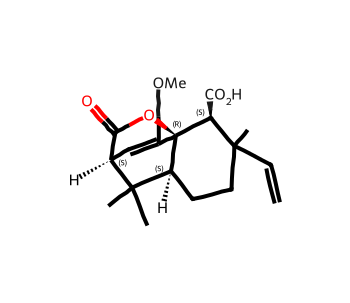 C=CC1(C)CC[C@H]2C(C)(C)[C@@H]3C=C(OC)[C@]2(OC3=O)[C@H]1C(=O)O